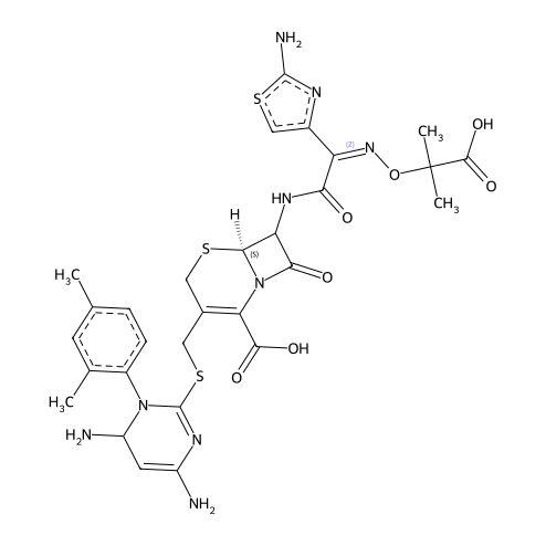 Cc1ccc(N2C(SCC3=C(C(=O)O)N4C(=O)C(NC(=O)/C(=N\OC(C)(C)C(=O)O)c5csc(N)n5)[C@@H]4SC3)=NC(N)=CC2N)c(C)c1